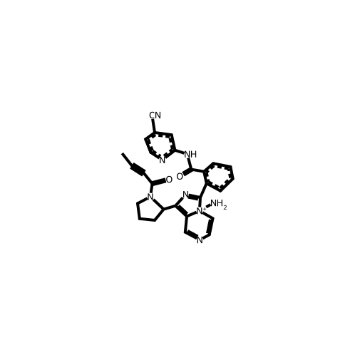 CC#CC(=O)N1CCCC1C1=C2C=NC=C[N+]2(N)C(c2ccccc2C(=O)Nc2cc(C#N)ccn2)=N1